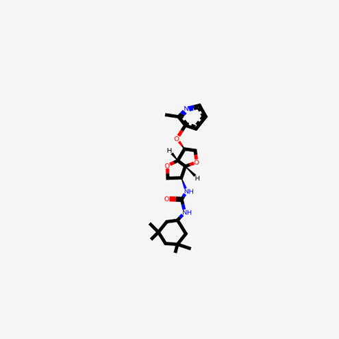 Cc1ncccc1O[C@H]1CO[C@H]2[C@@H]1OC[C@@H]2NC(=O)NC1CC(C)(C)CC(C)(C)C1